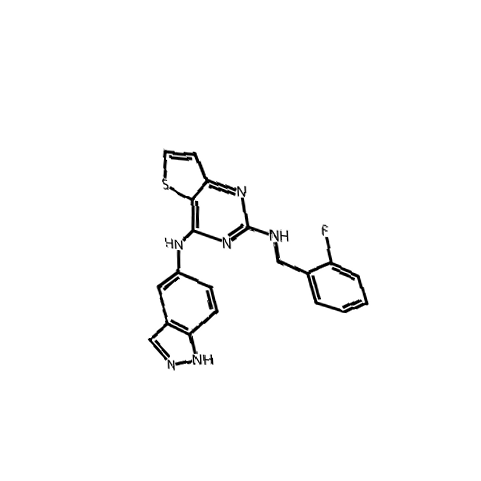 Fc1ccccc1CNc1nc(Nc2ccc3[nH]ncc3c2)c2sccc2n1